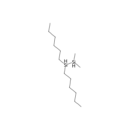 CCCCCC[SiH](CCCCCC)[SiH](C)C